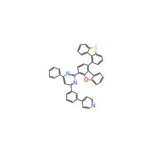 c1ccc(-c2cc(-c3cccc(-c4ccncc4)c3)nc(-c3ccc(-c4cccc5sc6ccccc6c45)c4c3oc3ccccc34)n2)cc1